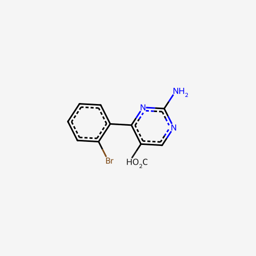 Nc1ncc(C(=O)O)c(-c2ccccc2Br)n1